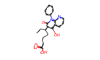 CCC(CCCC(=O)O)c1c(O)c2cccnc2n(-c2ccccc2)c1=O